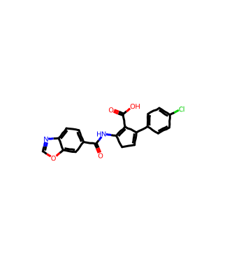 O=C(O)C1=C(NC(=O)c2ccc3ncoc3c2)CC=C1c1ccc(Cl)cc1